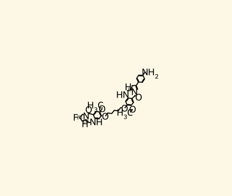 COc1cc2c(cc1OCCCCCOc1cc3c(cc1OC)C(=O)N1C[C@@H](F)C[C@H]1CN3)NC[C@@H]1CC(c3ccc(N)cc3)=CN1C2=O